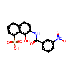 O=C(Nc1ccc2cccc(S(=O)(=O)O)c2c1O)c1cccc([N+](=O)[O-])c1